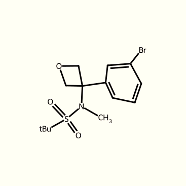 CN(C1(c2cccc(Br)c2)COC1)S(=O)(=O)C(C)(C)C